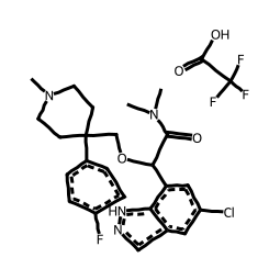 CN1CCC(COC(C(=O)N(C)C)c2cc(Cl)cc3cn[nH]c23)(c2ccc(F)cc2)CC1.O=C(O)C(F)(F)F